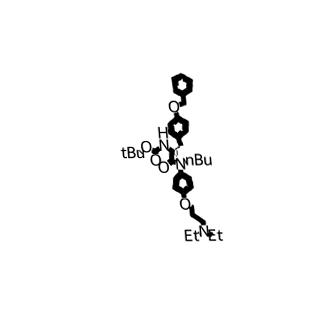 CCCCN(C(=O)[C@@H](Cc1ccc(OCc2ccccc2)cc1)NC(=O)OC(C)(C)C)c1ccc(OCCCN(CC)CC)cc1